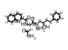 NC(=O)C[C@H](NC(=O)c1ccc2ccccc2n1)C(=O)N(N)C[C@H](O)CCc1ccccc1